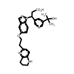 CC(C)(O)c1cncc(C(CC(=O)O)n2ncc3cc(OCCc4ccc5c(n4)CCCN5)ccc32)c1